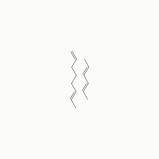 C=CCCCC=CC.CC=CC=CC